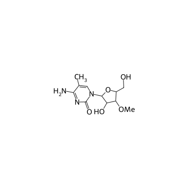 COC1C(CO)OC(n2cc(C)c(N)nc2=O)C1O